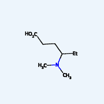 CCC(CCC(=O)O)N(C)C